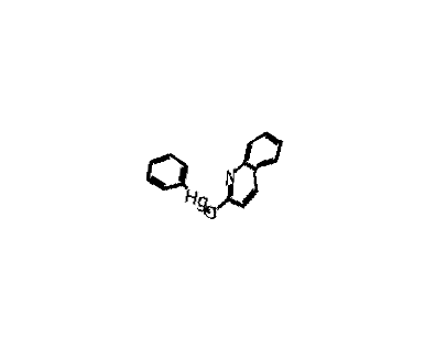 c1cc[c]([Hg][O]c2ccc3ccccc3n2)cc1